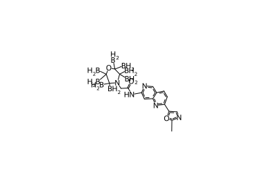 BC1(B)OC(B)(B)C(B)(B)N(CC(=O)Nc2cc3nc(-c4cnc(C)o4)ccc3cn2)C1(B)B